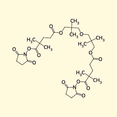 CC(C)(COCC(C)(C)COC(=O)CCC(C)(C)C(=O)ON1C(=O)CCC1=O)COC(=O)CCC(C)(C)C(=O)ON1C(=O)CCC1=O